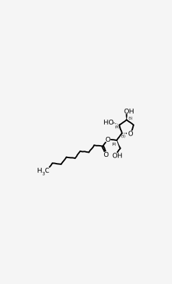 CCCCCCCCC(=O)O[C@H](CO)[C@H]1OC[C@H](O)[C@H]1O